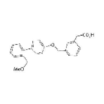 COCc1ccccc1-c1ccc(OCc2cccc(CC(=O)O)c2)cc1